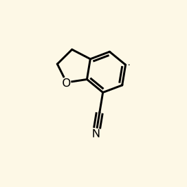 N#Cc1c[c]cc2c1OCC2